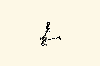 CNC(Cc1ccccc1)C(=O)OCCCCOC(=O)C(Cc1ccccc1)NC(=O)CCCCCCCCC(C)=O